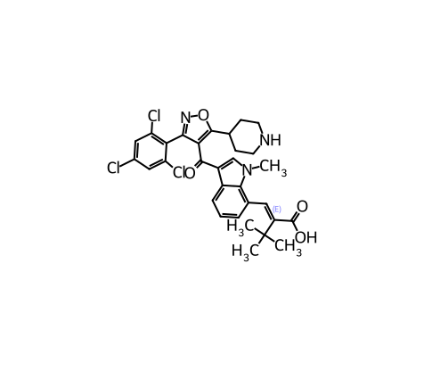 Cn1cc(C(=O)c2c(-c3c(Cl)cc(Cl)cc3Cl)noc2C2CCNCC2)c2cccc(/C=C(/C(=O)O)C(C)(C)C)c21